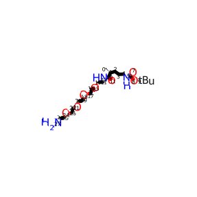 C[C@H](CCCNC(=O)OC(C)(C)C)C(=O)NCCOCCOCCOCCOCCN